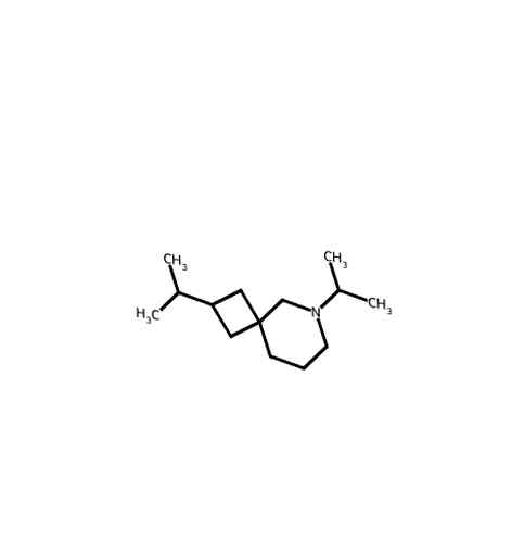 CC(C)C1CC2(CCCN(C(C)C)C2)C1